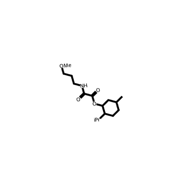 COCCCNC(=O)C(=O)OC1CC(C)CCC1C(C)C